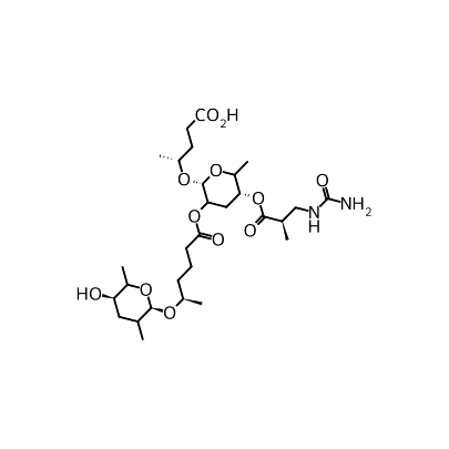 CC1C[C@@H](O)C(C)O[C@H]1O[C@H](C)CCCC(=O)OC1C[C@@H](OC(=O)[C@H](C)CNC(N)=O)C(C)O[C@H]1O[C@H](C)CCC(=O)O